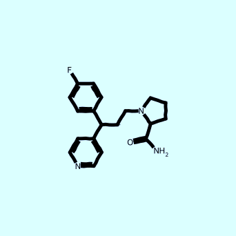 NC(=O)C1CCCN1C[CH]C(c1ccncc1)c1ccc(F)cc1